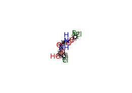 O=C(COc1ccc(Cl)c(F)c1)NC12CC(C(=O)NCC3CC(O)c4cc(Cl)ccc4O3)(C1)C2